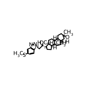 CSc1ccc2c(c1)nnn2CC(=O)[C@H]1CC[C@H]2[C@@H]3CC[C@H]4C[C@](C)(O)CC[C@]4(C)[C@H]3CC[C@]12C